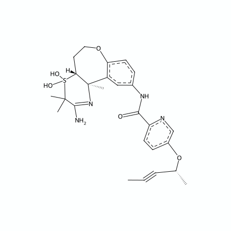 CC#C[C@@H](C)Oc1ccc(C(=O)Nc2ccc3c(c2)[C@@]2(C)N=C(N)C(C)(C)S(O)(O)[C@@H]2CCO3)nc1